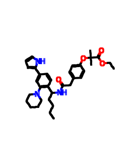 CCCCC(NC(=O)Cc1ccc(OC(C)(C)C(=O)OCC)cc1)c1ccc(-c2ccc[nH]2)cc1N1CCCCC1